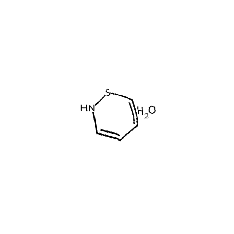 C1=CNSC=C1.O